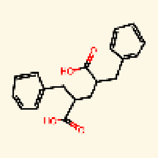 O=C(O)C(Cc1ccccc1)CC(Cc1ccccc1)C(=O)O